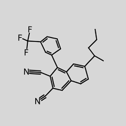 CCCC(C)c1ccc2cc(C#N)c(C#N)c(-c3cccc(C(F)(F)F)c3)c2c1